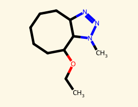 CCOC1CCCCCC2N=NN(C)C21